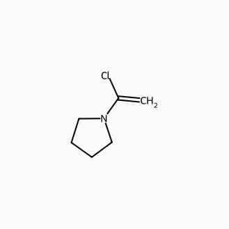 C=C(Cl)N1CCCC1